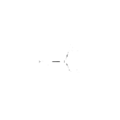 CCOC(=O)[13CH]([15NH]C(C)=O)C(=O)OCC